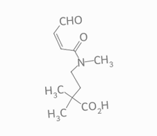 CN(CCC(C)(C)C(=O)O)C(=O)/C=C\C=O